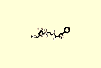 Nc1cc(CO)nn1S(=O)(=O)CCNC(=O)c1cc(-c2ccccc2)on1